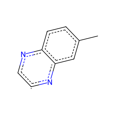 Cc1ccc2nc[c]nc2c1